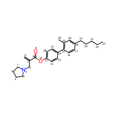 C=C(CN1CCCC1)C(=O)Oc1ccc(-c2ccc(CCCCC)cc2C)cc1